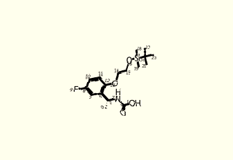 C[C@@H](NC(=O)O)c1cc(F)ccc1OCCO[Si](C)(C)C(C)(C)C